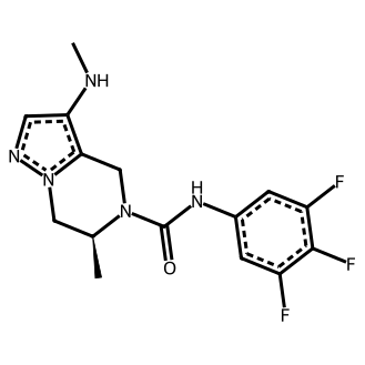 CNc1cnn2c1CN(C(=O)Nc1cc(F)c(F)c(F)c1)[C@@H](C)C2